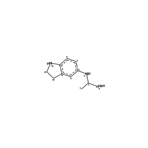 CCCCCCC(C)Nc1ccc2c(c1)CCN2